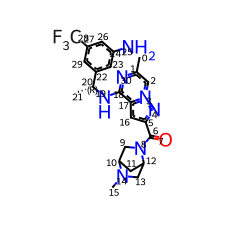 Cc1cn2nc(C(=O)N3CC4CC3CN4C)cc2c(N[C@H](C)c2cc(N)cc(C(F)(F)F)c2)n1